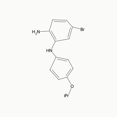 CC(C)Oc1ccc(Nc2cc(Br)ccc2N)cc1